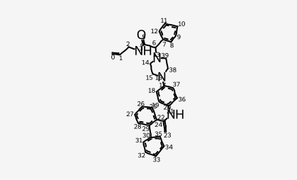 C=CCNC(=O)C(c1ccccc1)N1CCN(c2ccc(NC(=C)c3ccccc3-c3ccccc3)cc2)CC1